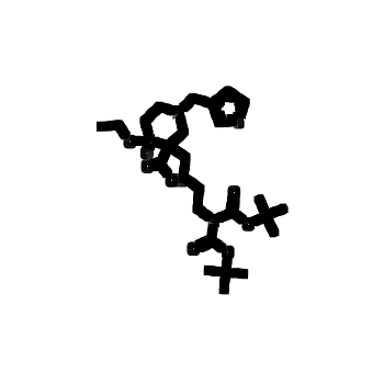 CCOP1(=O)CCN(Cc2ccsc2)CC1(CCCCN(C(=O)OC(C)(C)C)C(=O)OC(C)(C)C)C(=O)O